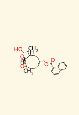 C=C1C(O)O[C@H]2[C@H]1CC/C(COC(=O)c1cccc3ccccc13)=C\CC[C@@]1(C)O[C@@H]21